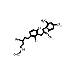 Cc1cc(C(F)(F)F)cc2c1cc(Cc1c(Cl)ccc(CCC(CCNC=O)C(C)C)c1Cl)n2C